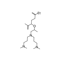 C=C(CC)CCC(OC(C)CN(CCCN(C)C)CCCN(C)C)C(=C)C